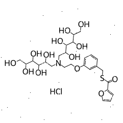 Cl.O=C(SCc1cccc(OCCN(CC(O)C(O)C(O)C(O)CO)CC(O)C(O)C(O)C(O)CO)c1)c1ccco1